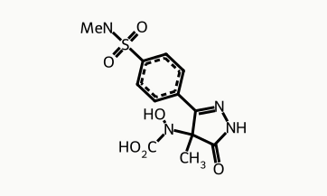 CNS(=O)(=O)c1ccc(C2=NNC(=O)C2(C)N(O)C(=O)O)cc1